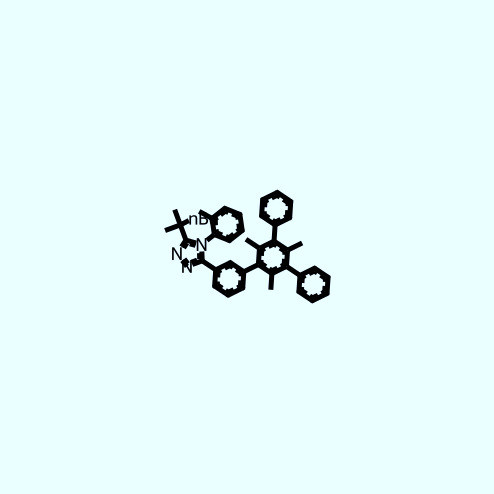 CCCCC(C)(C)c1nnc(-c2cccc(-c3c(C)c(-c4ccccc4)c(C)c(-c4ccccc4)c3C)c2)n1-c1ccccc1C